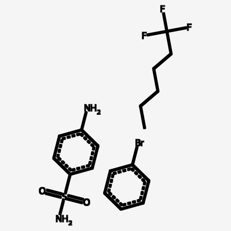 Brc1ccccc1.CCCCCC(F)(F)F.Nc1ccc(S(N)(=O)=O)cc1